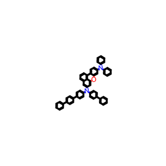 c1ccc(-c2ccc(-c3ccc(N(c4ccc(-c5ccccc5)cc4)c4cc5c6c(cccc6c4)-c4ccc(N(c6ccccc6)c6ccccc6)cc4O5)cc3)cc2)cc1